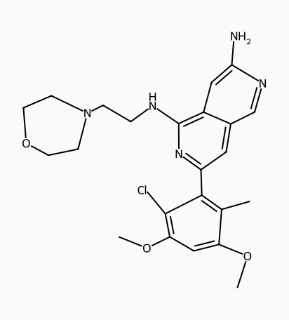 COc1cc(OC)c(Cl)c(-c2cc3cnc(N)cc3c(NCCN3CCOCC3)n2)c1C